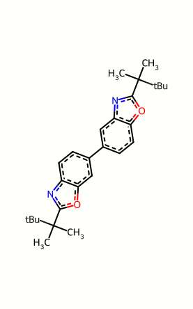 CC(C)(C)C(C)(C)c1nc2cc(-c3ccc4nc(C(C)(C)C(C)(C)C)oc4c3)ccc2o1